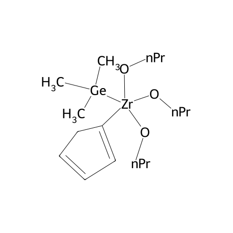 CCC[O][Zr]([O]CCC)([O]CCC)([C]1=CC=CC1)[Ge]([CH3])([CH3])[CH3]